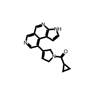 O=C(C1CC1)N1CC=C(c2cncc3cnc4[nH]ccc4c23)C1